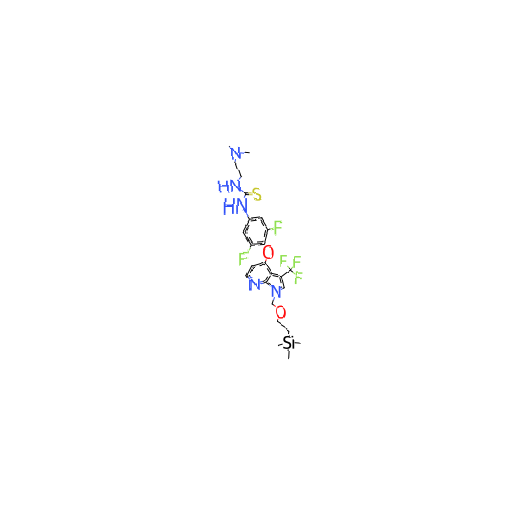 CN(C)CCNC(=S)Nc1cc(F)c(Oc2ccnc3c2c(C(F)(F)F)cn3COCC[Si](C)(C)C)c(F)c1